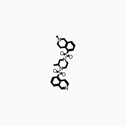 CC1CN(S(=O)(=O)c2cccc3c2CCN(C)C3)CCN1S(=O)(=O)c1cccc2cnccc12